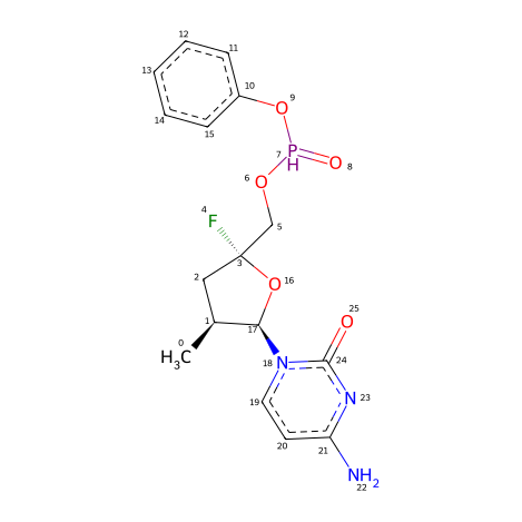 C[C@H]1C[C@@](F)(CO[PH](=O)Oc2ccccc2)O[C@H]1n1ccc(N)nc1=O